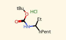 CCCCCC(CC)NC(=O)OC(C)(C)C.Cl